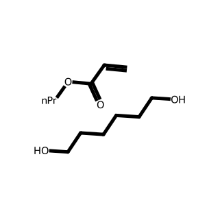 C=CC(=O)OCCC.OCCCCCCO